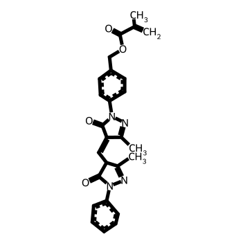 C=C(C)C(=O)OCc1ccc(N2N=C(C)C(=CC3C(=O)N(c4ccccc4)N=C3C)C2=O)cc1